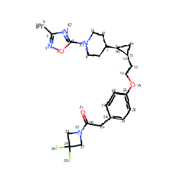 CC(C)c1noc(N2CCC([C@H]3C[C@H]3CCOc3ccc(CC(=O)N4CC(F)(F)C4)cc3)CC2)n1